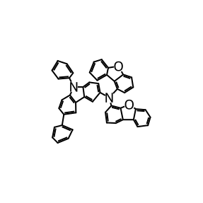 c1ccc(-c2ccc3c(c2)c2cc(N(c4cccc5c4oc4ccccc45)c4cccc5oc6ccccc6c45)ccc2n3-c2ccccc2)cc1